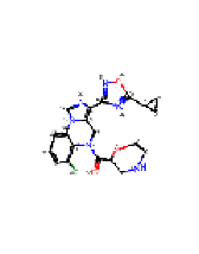 O=C(C1CNCCO1)N1Cc2c(-c3noc(C4CC4)n3)ncn2-c2cccc(F)c21